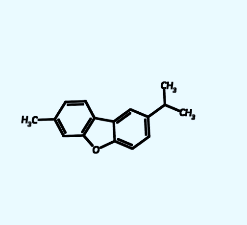 Cc1ccc2c(c1)oc1ccc(C(C)C)cc12